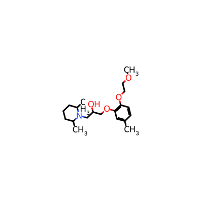 COCCOc1ccc(C)cc1OCC(O)CN1C(C)CCCC1C